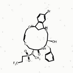 CN([C@H]1CCC=CCO[C@@H]2C[C@H](NC[C@@H](O)[C@H](Cc3ccccc3)NC1=O)c1cc(Br)ccc12)S(=O)(=O)CCC(F)(F)F